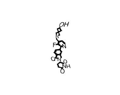 O=C1CC[C@H](N2Cc3cc(-c4nccc(CN5CC6(CC(O)C6)C5)c4F)ccc3C2=O)C(=O)N1